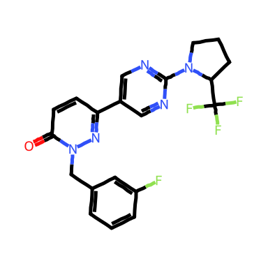 O=c1ccc(-c2cnc(N3CCCC3C(F)(F)F)nc2)nn1Cc1cccc(F)c1